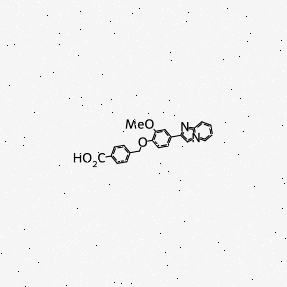 COc1cc(-c2cn3ccccc3n2)ccc1OCc1ccc(C(=O)O)cc1